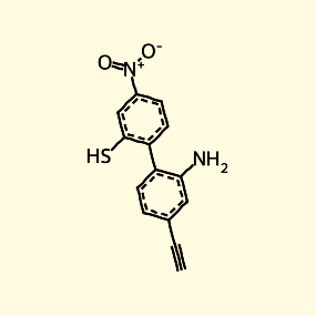 C#Cc1ccc(-c2ccc([N+](=O)[O-])cc2S)c(N)c1